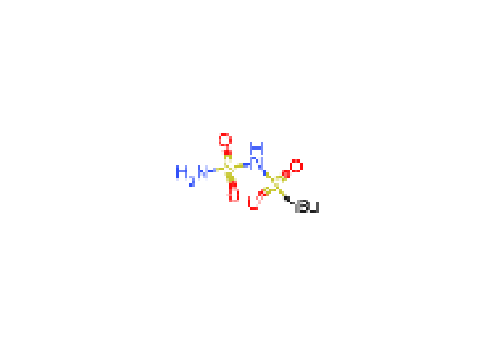 CCCCS(=O)(=O)NS(N)(=O)=O